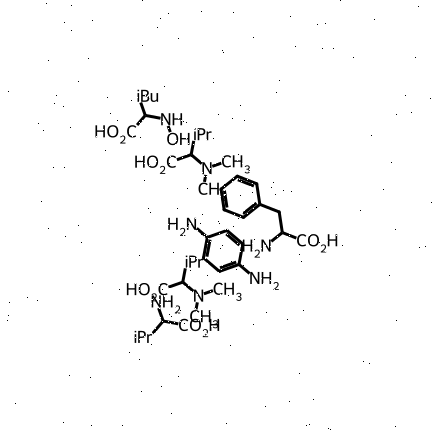 CC(C)C(C(=O)O)N(C)C.CC(C)C(C(=O)O)N(C)C.CC(C)C(N)C(=O)O.CCC(C)C(NO)C(=O)O.NC(Cc1ccccc1)C(=O)O.Nc1ccc(N)cc1